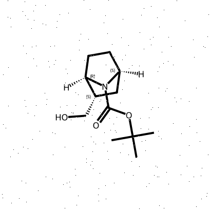 CC(C)(C)OC(=O)N1[C@H]2CC[C@@H]1[C@@H](CO)C2